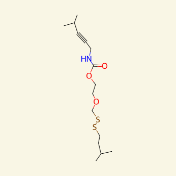 CC(C)C#CCNC(=O)OCCOCSSCCC(C)C